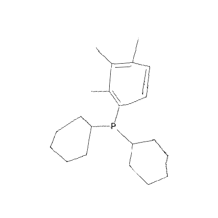 Cc1ccc(P(C2CCCCC2)C2CCCCC2)c(C)c1C